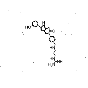 N=C(N)NCCCNCc1ccc(-n2cc3cc(-c4cccc(O)c4)[nH]c3nc2=O)cc1